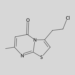 Cc1cc(=O)n2c(CCCl)csc2n1